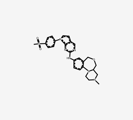 CN1CCN2c3ccc(Nc4ncc5ccn(-c6ccc(S(C)(=O)=O)cc6)c5n4)cc3COCC2C1